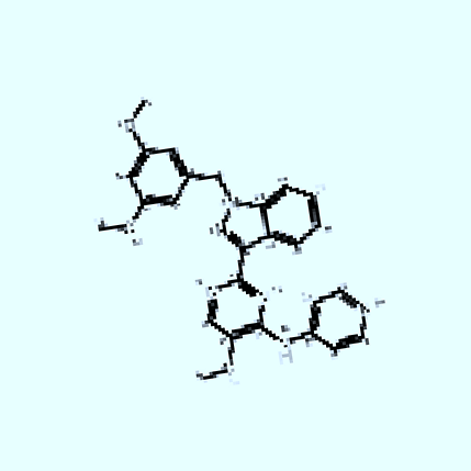 COc1cc(Cn2nc(-c3ncc(OC)c(Nc4ccncc4)n3)c3ccccc32)cc(OC)c1